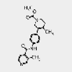 COC(=O)N1CCC(C)=C(c2ccc(NC(=O)c3ccncc3C)cc2)C1